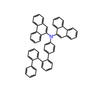 c1ccc(-c2ccccc2-c2ccccc2-c2ccc(N(c3cc4ccccc4c4ccccc34)c3cc4ccccc4c4ccccc34)cc2)cc1